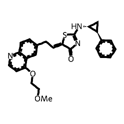 COCCOc1ccnc2ccc(C/C=C3\SC(N[C@@H]4C[C@H]4c4ccccc4)=NC3=O)cc12